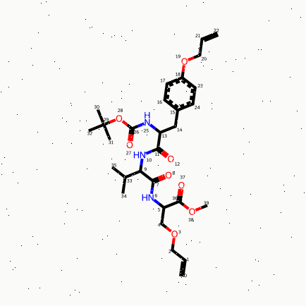 C=CCOCC(NC(=O)C(NC(=O)C(Cc1ccc(OCC=C)cc1)NC(=O)OC(C)(C)C)C(C)C)C(=O)OC